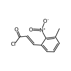 Cc1cccc(C=CC(=O)Cl)c1[N+](=O)[O-]